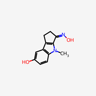 Cn1c2c(c3cc(O)ccc31)CC/C2=N/O